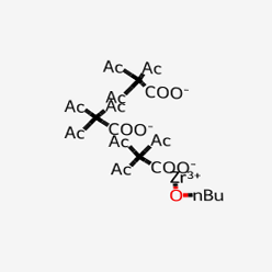 CC(=O)C(C(C)=O)(C(C)=O)C(=O)[O-].CC(=O)C(C(C)=O)(C(C)=O)C(=O)[O-].CC(=O)C(C(C)=O)(C(C)=O)C(=O)[O-].CCCC[O][Zr+3]